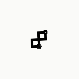 C1CC2(COC2)[N]1